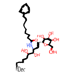 CCCCCCCCCCCCCC[C@@H](O)[C@@H](O)[C@H](/C=C/[C@H]1OC(CO)[C@H](O)[C@H](O)C1O)NC(=O)CCCCCCCc1ccccc1